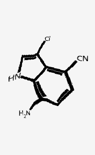 N#Cc1ccc(N)c2[nH]cc(Cl)c12